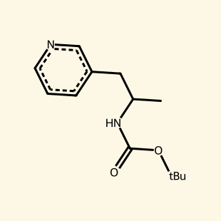 CC(Cc1cccnc1)NC(=O)OC(C)(C)C